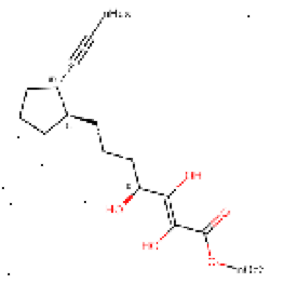 CCCCCCC#C[C@H]1CCC[C@@H]1CCC[C@H](O)C(O)=C(O)C(=O)OCCCCCCCC